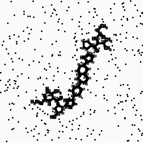 COC(=O)N[C@H](C(=O)N1CCC[C@H]1c1ncc(-c2ccc3nc(-c4ccc(-c5cnc([C@@H]6C[C@@H](O)CN6C(=O)[C@@H](NC(=O)OC)C(C)C)[nH]5)cc4)ccc3c2)[nH]1)C(C)C